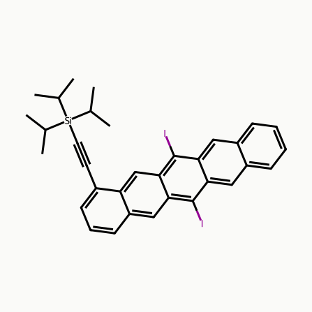 CC(C)[Si](C#Cc1cccc2cc3c(I)c4cc5ccccc5cc4c(I)c3cc12)(C(C)C)C(C)C